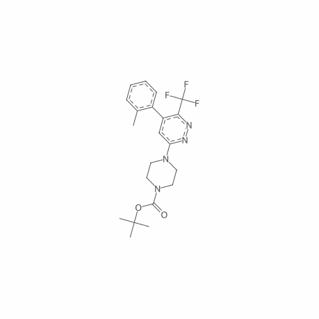 Cc1ccccc1-c1cc(N2CCN(C(=O)OC(C)(C)C)CC2)nnc1C(F)(F)F